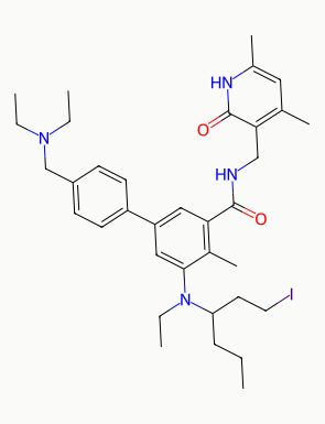 CCCC(CCI)N(CC)c1cc(-c2ccc(CN(CC)CC)cc2)cc(C(=O)NCc2c(C)cc(C)[nH]c2=O)c1C